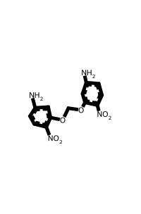 Nc1ccc([N+](=O)[O-])c(OCOc2cc(N)ccc2[N+](=O)[O-])c1